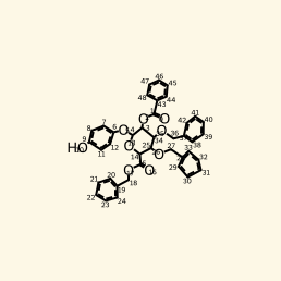 O=C(OC1C(Oc2ccc(O)cc2)OC(C(=O)OCc2ccccc2)C(OCc2ccccc2)C1OCc1ccccc1)c1ccccc1